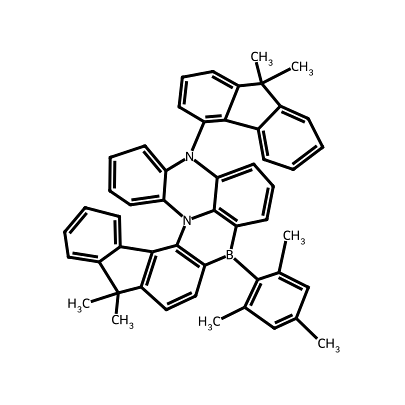 Cc1cc(C)c(B2c3cccc4c3N(c3ccccc3N4c3cccc4c3-c3ccccc3C4(C)C)c3c2ccc2c3-c3ccccc3C2(C)C)c(C)c1